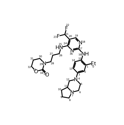 CCc1cc(N2CCN3CCCC3C2)ccc1Nc1ncc(C(F)F)c(NCCCN2CCCOC2=O)n1